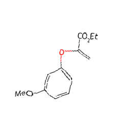 C=C(Oc1cccc(OC)c1)C(=O)OCC